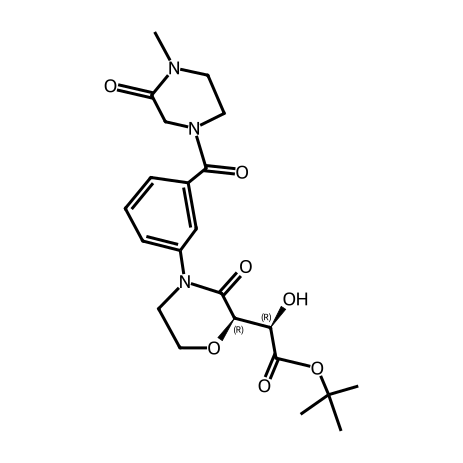 CN1CCN(C(=O)c2cccc(N3CCO[C@H]([C@@H](O)C(=O)OC(C)(C)C)C3=O)c2)CC1=O